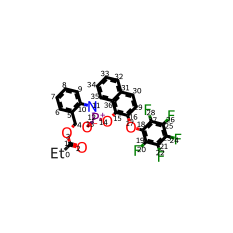 CCC(=O)OCc1ccccc1N=[P+]([O-])Oc1c(Oc2c(F)c(F)c(F)c(F)c2F)ccc2ccccc12